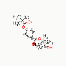 CCC(C)(C)C(=O)Oc1ccc(C(=O)OC(C)(C)C(O)(C(F)(F)F)C(F)(F)F)cc1